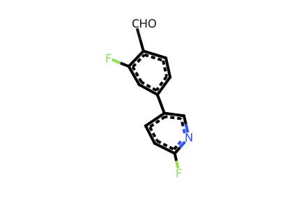 O=Cc1ccc(-c2ccc(F)nc2)cc1F